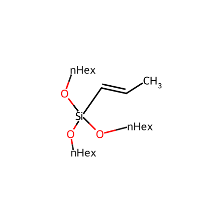 CC=C[Si](OCCCCCC)(OCCCCCC)OCCCCCC